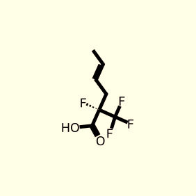 CC=CC[C@](F)(C(=O)O)C(F)(F)F